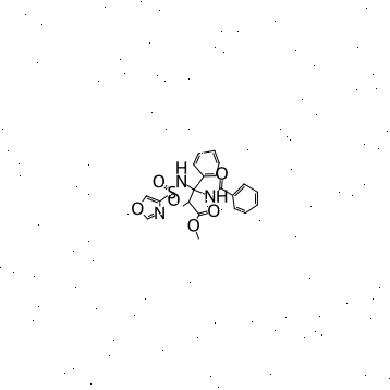 COC(=O)C(C)C(NC(=O)c1ccccc1)(NS(=O)(=O)c1cocn1)c1ccccc1